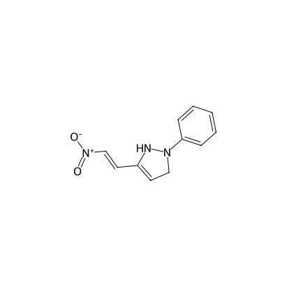 O=[N+]([O-])C=CC1=CCN(c2ccccc2)N1